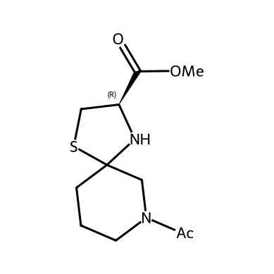 COC(=O)[C@@H]1CSC2(CCCN(C(C)=O)C2)N1